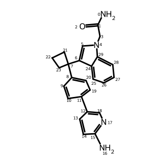 NC(=O)Cn1cc(C2(c3ccc(-c4ccc(N)nc4)cc3)CCC2)c2ccccc21